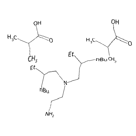 CC(C)C(=O)O.CC(C)C(=O)O.CCCCC(CC)CN(CCN)CC(CC)CCCC